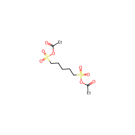 CCC(=O)OS(=O)(=O)CCCCCS(=O)(=O)OC(=O)CC